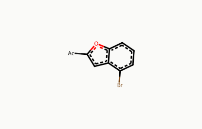 CC(=O)c1cc2c(Br)cccc2o1